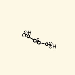 O=C(O)c1ccc(C#Cc2ccc3c(c2)sc2cc(C#Cc4ccc(C(=O)O)cc4)ccc23)cc1